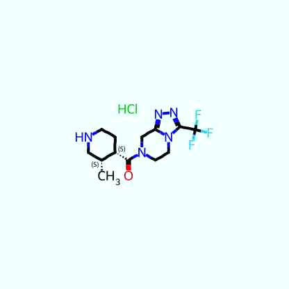 C[C@@H]1CNCC[C@@H]1C(=O)N1CCn2c(nnc2C(F)(F)F)C1.Cl